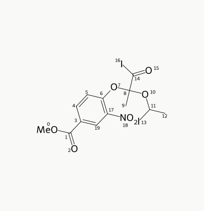 COC(=O)c1ccc(OC(C)(OC(C)I)C(=O)I)c([N+](=O)[O-])c1